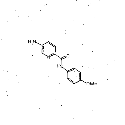 COc1ccc(NC(=O)c2ccc(N)cn2)cc1